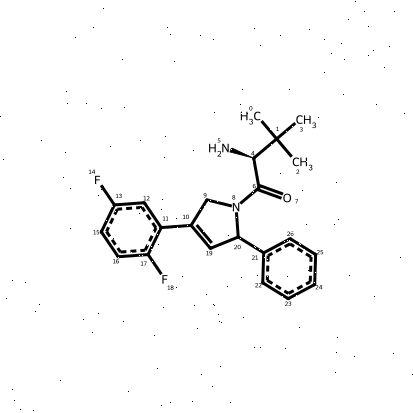 CC(C)(C)[C@H](N)C(=O)N1CC(c2cc(F)ccc2F)=CC1c1ccccc1